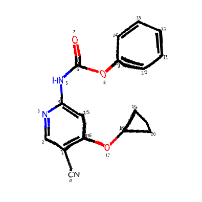 N#Cc1cnc(NC(=O)Oc2ccccc2)cc1OC1CC1